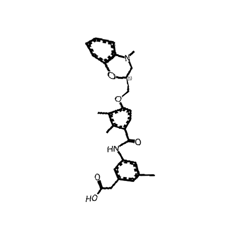 Cc1cc(CC(=O)O)cc(NC(=O)c2ccc(OC[C@@H]3CN(C)c4ccccc4O3)c(C)c2C)c1